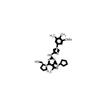 COc1cc(-n2cnc(Nc3nc(N4CCC[C@H]4CO)c4c(C)nn(C5CCCC5)c4n3)c2)cc(C)c1C